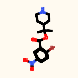 CC(C)(OC(=O)c1cc([N+](=O)[O-])ccc1Br)C1CCNCC1